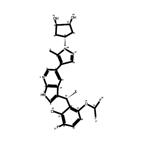 Cc1c(-c2cnc3[nH]cc([C@H](C)c4c(OC(F)F)ccc(F)c4Cl)c3c2)cnn1[C@@H]1C[C@@H](O)[C@@H](O)C1